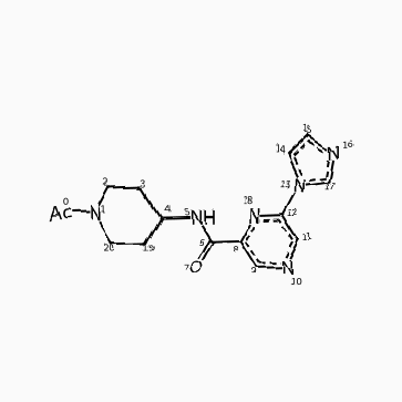 CC(=O)N1CCC(NC(=O)c2cncc(-n3ccnc3)n2)CC1